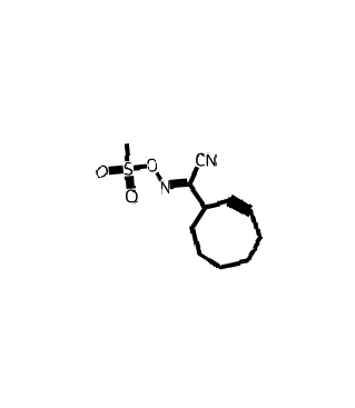 CS(=O)(=O)ON=C(C#N)C1C#CCCCCC1